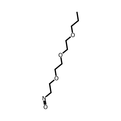 CCCOCCOCCOCCN=O